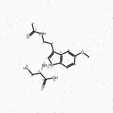 COc1ccc2[nH]cc(CCNC(C)=O)c2c1.N[C@@H](CS)C(=O)O